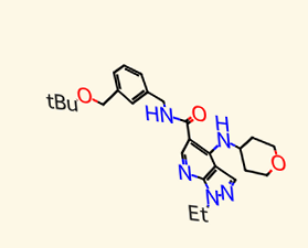 CCn1ncc2c(NC3CCOCC3)c(C(=O)NCc3cccc(COC(C)(C)C)c3)cnc21